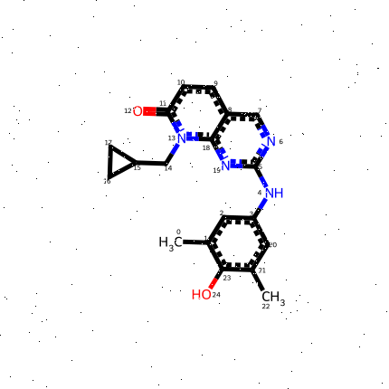 Cc1cc(Nc2ncc3ccc(=O)n(CC4CC4)c3n2)cc(C)c1O